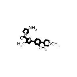 Cc1cc(-c2cc(C)c(C(=O)N3CC[C@H](N)C3)s2)ccc1C1CCN(C)CC1